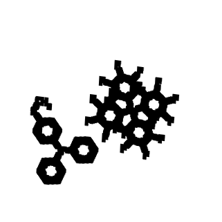 CSc1ccc([S+](c2ccccc2)c2ccccc2)cc1.Fc1c(F)c(F)[c]([Ga-]([c]2c(F)c(F)c(F)c(F)c2F)([c]2c(F)c(F)c(F)c(F)c2F)[c]2c(F)c(F)c(F)c(F)c2F)c(F)c1F